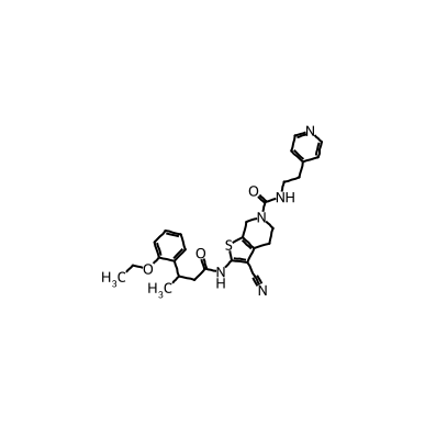 CCOc1ccccc1C(C)CC(=O)Nc1sc2c(c1C#N)CCN(C(=O)NCCc1ccncc1)C2